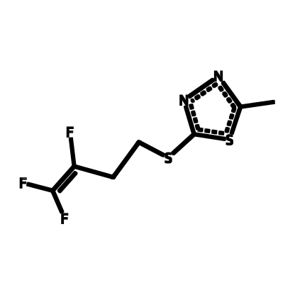 Cc1nnc(SCCC(F)=C(F)F)s1